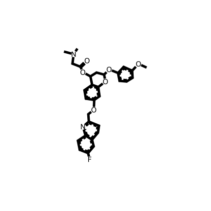 COc1cccc(OC2CC(OC(=O)CN(C)C)c3ccc(OCc4ccc5cc(F)ccc5n4)cc3O2)c1